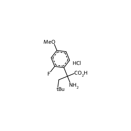 COc1ccc(C(N)(CC(C)(C)C)C(=O)O)c(F)c1.Cl